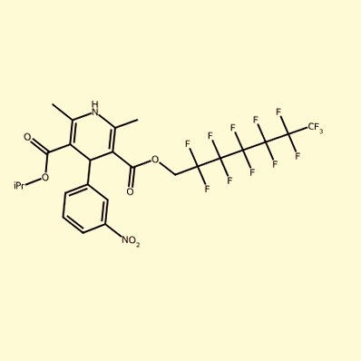 CC1=C(C(=O)OCC(F)(F)C(F)(F)C(F)(F)C(F)(F)C(F)(F)C(F)(F)F)C(c2cccc([N+](=O)[O-])c2)C(C(=O)OC(C)C)=C(C)N1